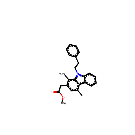 CSc1c(CC(=O)OC(C)(C)C)cc(C)c2c3ccccc3n(CCc3ccccc3)c12